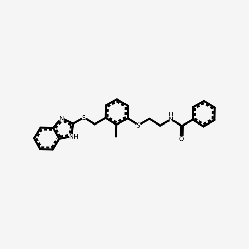 Cc1c(CSc2nc3ccccc3[nH]2)cccc1SCCNC(=O)c1ccccc1